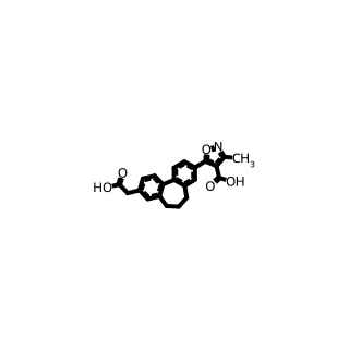 Cc1noc(-c2ccc3c(c2)CCCc2cc(CC(=O)O)ccc2-3)c1C(=O)O